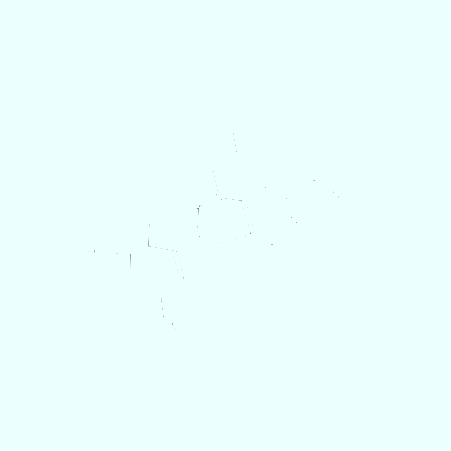 COc1cc(OC)c(F)c(N2Cc3cnc(CNC(C)=O)cc3N(CCF)C2=O)c1F